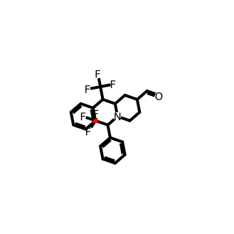 O=CC1CCN(C(c2ccccc2)C(F)(F)F)C(C(c2ccccc2)C(F)(F)F)C1